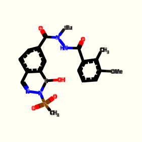 COc1cccc(C(=O)NN(C(=O)c2ccc3c(c2)B(O)N(S(C)(=O)=O)N=C3)C(C)(C)C)c1C